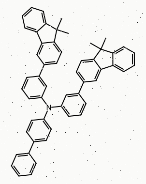 CC1(C)c2ccccc2-c2cc(-c3cccc(N(c4ccc(-c5ccccc5)cc4)c4cccc(-c5ccc6c(c5)-c5ccccc5C6(C)C)c4)c3)ccc21